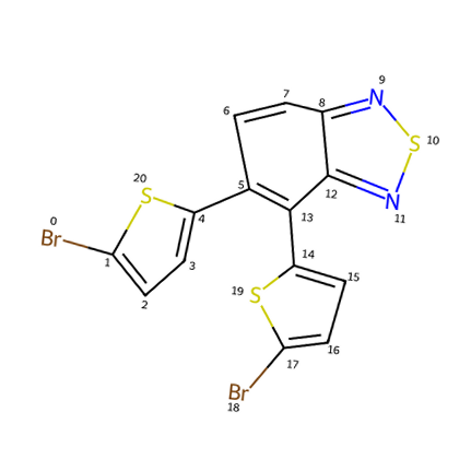 Brc1ccc(-c2ccc3nsnc3c2-c2ccc(Br)s2)s1